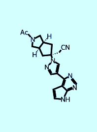 CC(=O)N1C[C@@H]2C[C@](CC#N)(n3cc(-c4ncnc5[nH]ccc45)cn3)C[C@@H]2C1